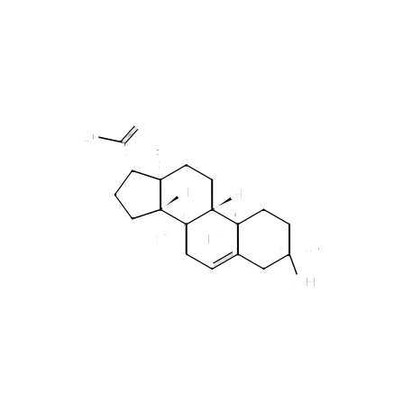 CCC(=O)[C@H]1CC[C@H]2[C@@H]3CC=C4C[C@](C)(O)CC[C@@H]4[C@H]3CC[C@]12C